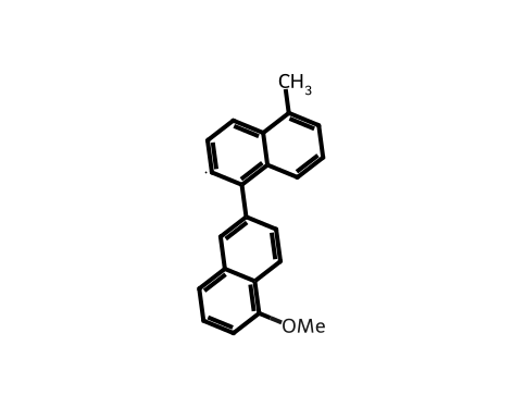 COc1cccc2cc(-c3[c]ccc4c(C)cccc34)ccc12